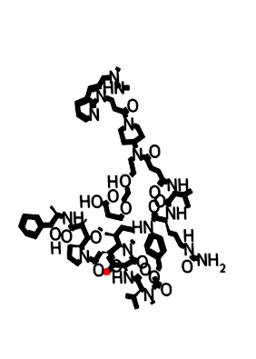 CC[C@H](C)[C@@H]([C@@H](CC(=O)N1CCC[C@H]1[C@H](OC)[C@@H](C)C(=O)N[C@H](C)[C@@H](O)c1ccccc1)OC)N(C)C(=O)[C@@H](NC(=O)[C@H](C(C)C)N(C)C(=O)OCc1ccc(NC(=O)[C@H](CCCNC(N)=O)NC(=O)[C@@H](NC(=O)CCC(=O)N(CCOCCOCCC(O)O)C2CCN(C(=O)CCn3c(CN(C)NC)cc4cccnc43)CC2)C(C)C)cc1)C(C)C